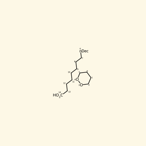 C1CCOOC1.CCCCCCCCCCCCCCCCCC(=O)O